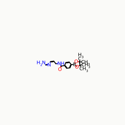 CC1(C)OB(c2ccc(C(=O)NC/C=C\N=C/N)cc2)OC1(C)C